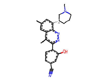 Cc1cc([C@H]2CCCN(C)C2)c2nnc(-c3ccc(C#N)cc3O)c(C)c2c1